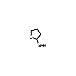 CS[C@@H]1CCCO1